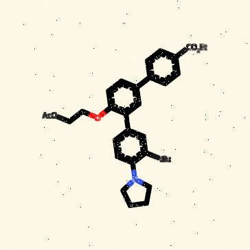 CCOC(=O)c1ccc(-c2ccc(OCCOC(C)=O)c(-c3ccc(N4CCCC4)c(C(C)(C)C)c3)c2)cc1